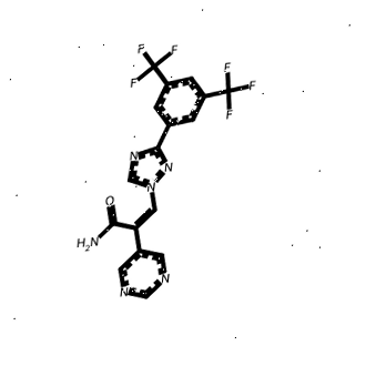 NC(=O)/C(=C\n1cnc(-c2cc(C(F)(F)F)cc(C(F)(F)F)c2)n1)c1cncnc1